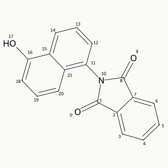 O=C1c2ccccc2C(=O)N1c1cccc2c(O)cccc12